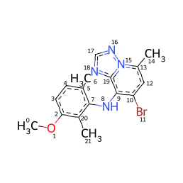 COc1ccc(C)c(Nc2c(Br)cc(C)n3ncnc23)c1C